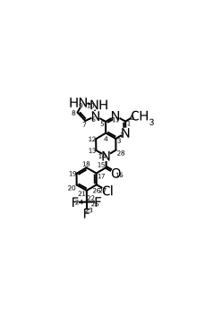 Cc1nc2c(c(N3C=CNN3)n1)CCN(C(=O)c1cccc(C(F)(F)F)c1Cl)C2